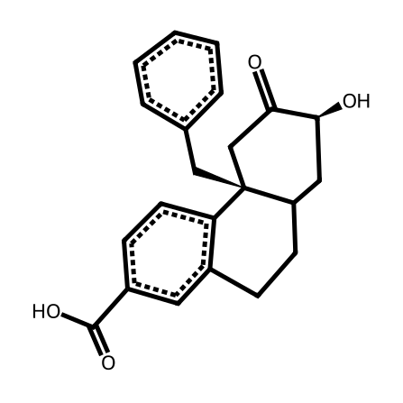 O=C(O)c1ccc2c(c1)CCC1C[C@H](O)C(=O)C[C@@]21Cc1ccccc1